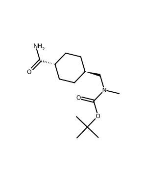 CN(C[C@H]1CC[C@H](C(N)=O)CC1)C(=O)OC(C)(C)C